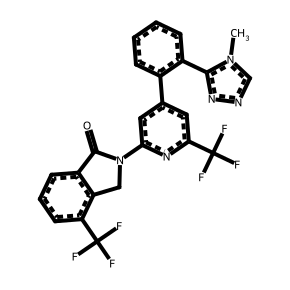 Cn1cnnc1-c1ccccc1-c1cc(N2Cc3c(cccc3C(F)(F)F)C2=O)nc(C(F)(F)F)c1